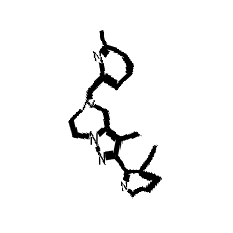 Cc1cccc(CN2CCn3nc(-c4ncccc4C)c(C)c3C2)n1